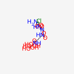 COc1cc(N)c(Cl)cc1C(=O)N[C@@H]1CCN(CCOC(CC=O)NCCCCCCCC(=O)NC[C@H](O)[C@@H](O)[C@H](O)[C@H](O)CO)C[C@@H]1OC